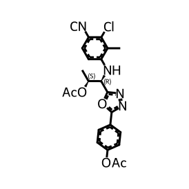 [C-]#[N+]c1ccc(N[C@@H](c2nnc(-c3ccc(OC(C)=O)cc3)o2)[C@H](C)OC(C)=O)c(C)c1Cl